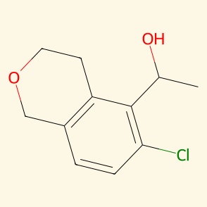 CC(O)c1c(Cl)ccc2c1CCOC2